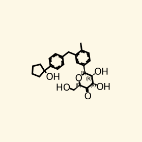 Cc1ccc([C@@H]2O[C@H](CO)C(=O)[C@H](O)[C@H]2O)cc1Cc1ccc(C2(O)CCCC2)cc1